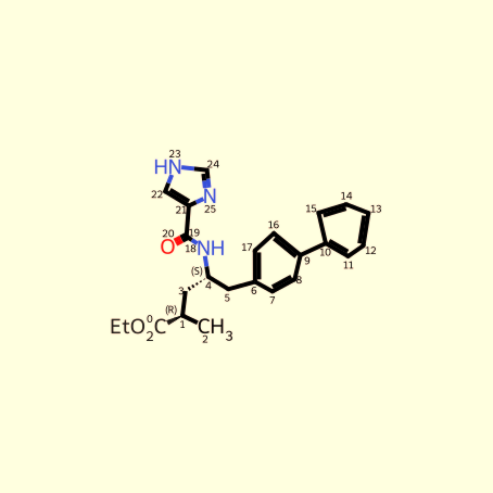 CCOC(=O)[C@H](C)C[C@@H](Cc1ccc(-c2ccccc2)cc1)NC(=O)c1c[nH]cn1